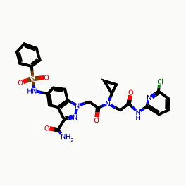 NC(=O)c1nn(CC(=O)N(CC(=O)Nc2cccc(Cl)n2)C2CC2)c2ccc(NS(=O)(=O)c3ccccc3)cc12